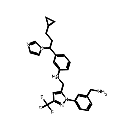 NCc1cccc(-n2nc(C(F)(F)F)cc2CNc2cccc(C(CCC3CC3)n3ccnc3)c2)c1